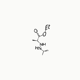 C=C(C)NN[C@@H](C)C(=O)OCC